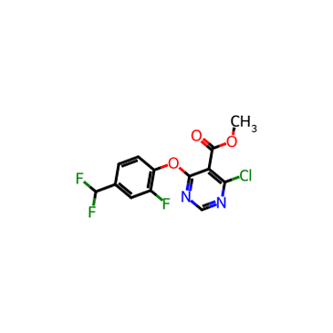 COC(=O)c1c(Cl)ncnc1Oc1ccc(C(F)F)cc1F